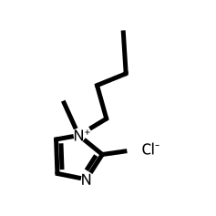 CCCC[N+]1(C)C=CN=C1C.[Cl-]